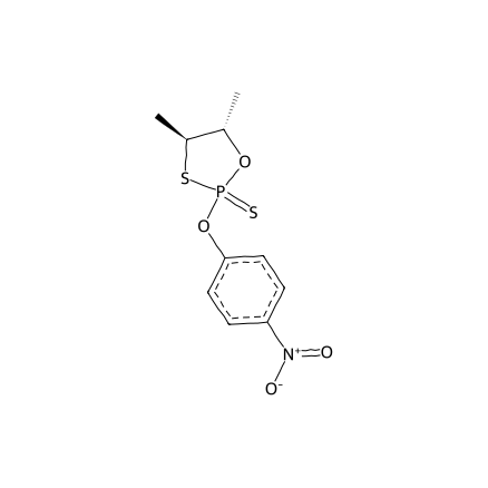 C[C@@H]1OP(=S)(Oc2ccc([N+](=O)[O-])cc2)S[C@H]1C